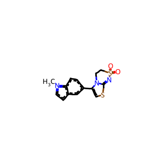 Cn1ccc2cc(C3=CSC4=NS(=O)(=O)CCN34)ccc21